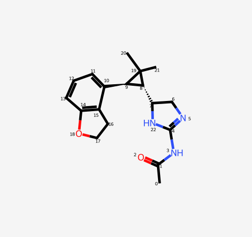 CC(=O)NC1=NCC([C@@H]2[C@@H](c3cccc4c3CCO4)C2(C)C)N1